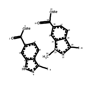 COC(=O)c1ccc2c(I)n[nH]c2c1.COC(=O)c1ccc2c(I)nn(C)c2c1